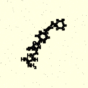 N=C(N)NNCn1nc(-c2ccc(C#CCC3CCCCC3)cc2)oc1=S